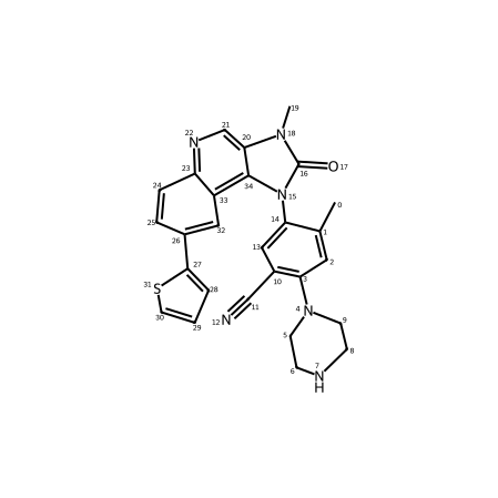 Cc1cc(N2CCNCC2)c(C#N)cc1-n1c(=O)n(C)c2cnc3ccc(-c4cccs4)cc3c21